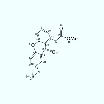 BCc1ccc2oc3cccc(CC(=O)OC)c3c(=O)c2c1